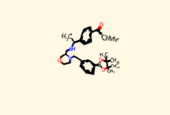 COC(=O)c1ccc([C@H](C)NCC2COCCN2Cc2cccc(B3OC(C)(C)C(C)(C)O3)c2)cc1